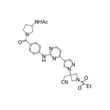 CCS(=O)(=O)N1CC(CC#N)(n2cc(-c3ccnc(Nc4ccc(C(=O)N5CCC(NC(C)=O)C5)cc4)n3)cn2)C1